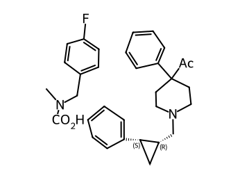 CC(=O)C1(c2ccccc2)CCN(C[C@@H]2C[C@@H]2c2ccccc2)CC1.CN(Cc1ccc(F)cc1)C(=O)O